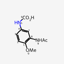 COc1ccc(NC(=O)O)cc1NC(C)=O